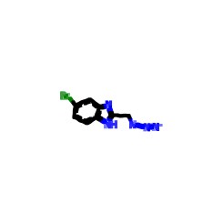 [N-]=[N+]=NCc1nc2cc(Br)ccc2[nH]1